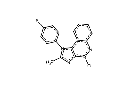 Cc1nc2c(Cl)nc3ccccc3c2n1-c1ccc(F)cc1